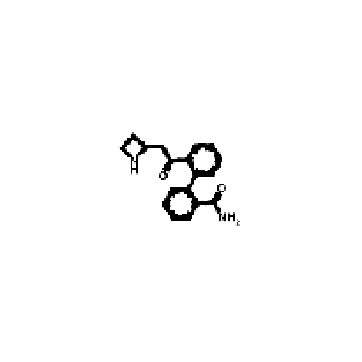 NC(=O)c1ccccc1-c1ccccc1C(=O)[CH]C1CCN1